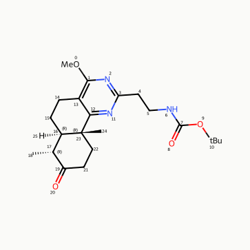 COc1nc(CCNC(=O)OC(C)(C)C)nc2c1CC[C@@H]1[C@@H](C)C(=O)CC[C@@]21C